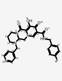 O=C(NCc1ccc(F)cc1)c1cn2c(c(O)c1=O)C(=O)N1CCCN(Cc3ccncc3)C1C2